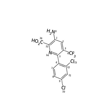 Nc1cc(C(F)(F)F)c(-c2ccc(Cl)cc2Cl)nc1C(=O)O